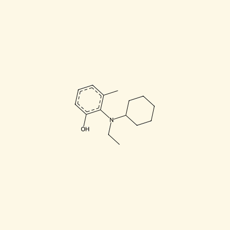 CCN(c1c(C)cccc1O)C1CCCCC1